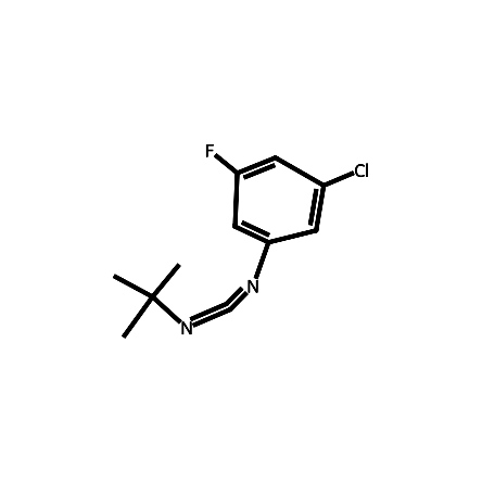 CC(C)(C)N=C=Nc1cc(F)cc(Cl)c1